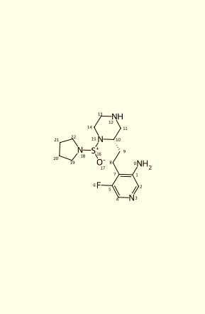 Nc1cncc(F)c1CC[C@H]1CNCCN1[S+]([O-])N1CCCC1